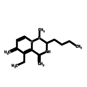 C=C1C=CN2C(=C1CC)C(=C)NC(CCCC)N2C